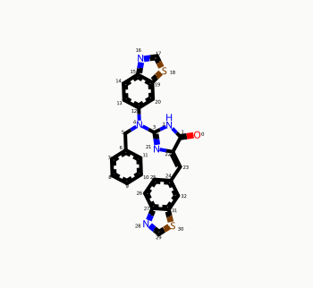 O=C1NC(N(Cc2ccccc2)c2ccc3ncsc3c2)=NC1=Cc1ccc2ncsc2c1